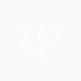 CC(C)C1COCCN1C(C)S